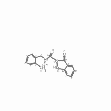 Cc1ccccc1CN(S)C(=O)n1[nH]c2ccccc2c1=O